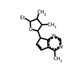 CCC1OC(C2C=Cc3c(C)ncnc32)C(C)C1C